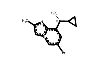 Cc1cn2cc(Br)cc([C@H](O)C3CC3)c2n1